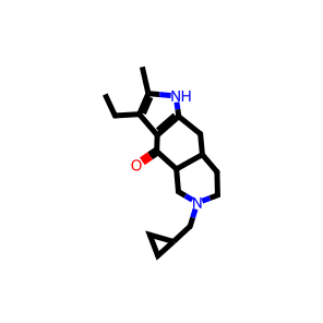 CCc1c(C)[nH]c2c1C(=O)C1CN(CC3CC3)CCC1C2